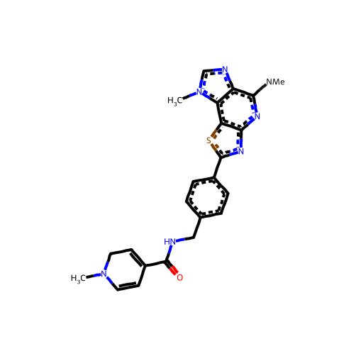 CNc1nc2nc(-c3ccc(CNC(=O)C4=CCN(C)C=C4)cc3)sc2c2c1ncn2C